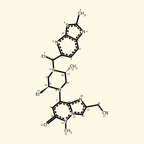 CCC(c1ccc2nc(C)sc2n1)N1C[C@H](CC)N(c2cc(=O)n(C)n3cc(CC#N)nc23)C[C@H]1C